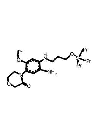 CC(C)Oc1cc(NCCCO[Si](C(C)C)(C(C)C)C(C)C)c(N)cc1N1CCOCC1=O